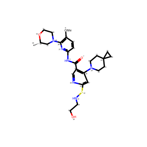 COc1ccc(NC(=O)c2cnc(SNCCO)cc2N2CCC3(CC2)CC3)nc1N1CCO[C@@H](C)C1